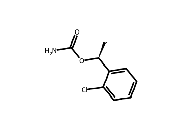 [CH2][C@H](OC(N)=O)c1ccccc1Cl